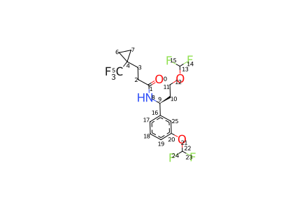 O=C(CCC1(C(F)(F)F)CC1)N[C@@H](CCOC(F)F)c1cccc(OC(F)F)c1